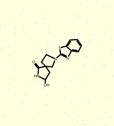 O=C1NC(O)CC12CCN(c1nc3ccccc3s1)C2